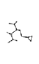 CC(C)C(CCC1CC1)N(C)C(C)C